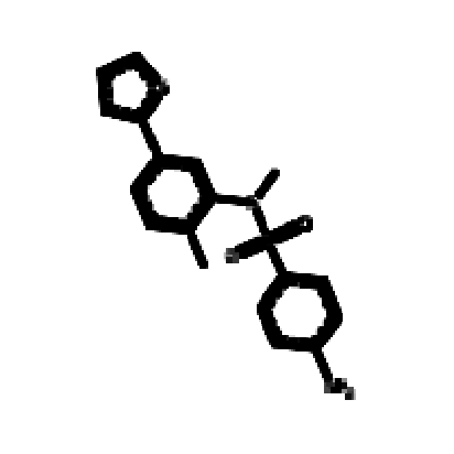 Cc1ccc(-c2cccs2)cc1N(C)S(=O)(=O)c1ccc(N)cc1